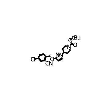 CC(C)(C)OC(=O)N1CCC(n2ccc(OCc3ccc(Cl)cc3C#N)n2)CC1